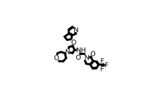 O=C(CN1CCc2ccc(C(F)(F)F)cc2C1=O)NC1CN(C2CCCOCC2)C[C@@H]1OC1CCc2ccncc21